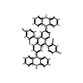 Cc1ccc(-c2c3ccc(N4c5ccccc5Sc5ccccc54)cc3c(-c3ccc(C)cc3C)c3ccc(N4c5ccccc5Sc5ccccc54)cc23)c(C)c1